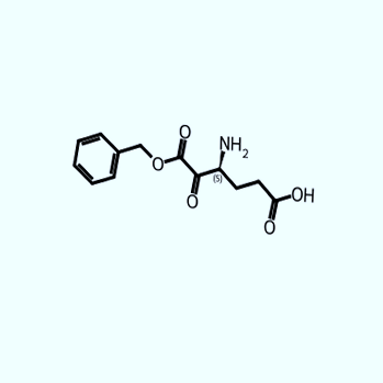 N[C@@H](CCC(=O)O)C(=O)C(=O)OCc1ccccc1